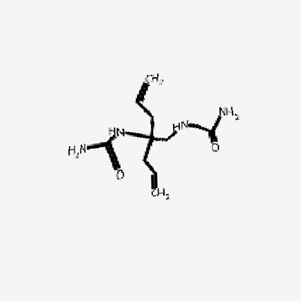 C=CCC(CC=C)(CNC(N)=O)NC(N)=O